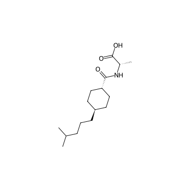 CC(C)CCC[C@H]1CC[C@H](C(=O)N[C@@H](C)C(=O)O)CC1